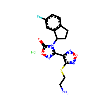 Cl.NCCSc1nonc1-c1noc(=O)n1C1CCc2ccc(F)cc21